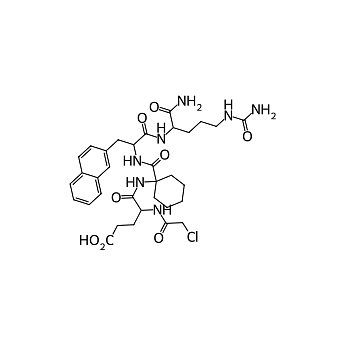 NC(=O)NCCCC(NC(=O)C(Cc1ccc2ccccc2c1)NC(=O)C1(NC(=O)C(CCC(=O)O)NC(=O)CCl)CCCCC1)C(N)=O